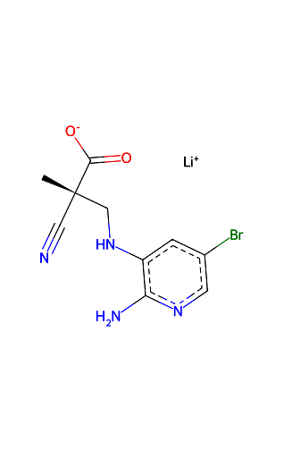 C[C@](C#N)(CNc1cc(Br)cnc1N)C(=O)[O-].[Li+]